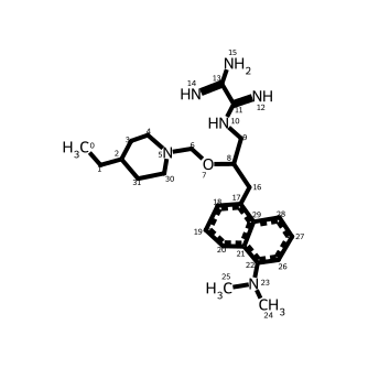 CCC1CCN(COC(CNC(=N)C(=N)N)Cc2cccc3c(N(C)C)cccc23)CC1